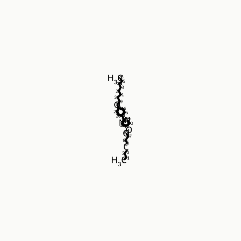 CCCCCCCCOOc1cnc(-c2ccc(OCCCCCCCC)cc2)nc1